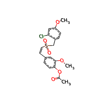 COc1ccc(CS(=O)(=O)/C=C\c2ccc(OC(C)=O)c(OC)c2)c(Cl)c1